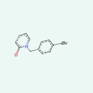 CCC(C)c1ccc(Cn2ccccc2=O)cc1